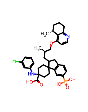 C[C@@H](COc1ccnc2c1[C@H](C)CCC2)CC1Cc2ccc(P(=O)(O)O)cc2C12CCC(Nc1cccc(Cl)c1)(C(=O)O)CC2